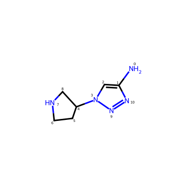 Nc1cn(C2CCNC2)nn1